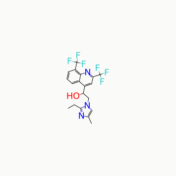 CCc1nc(C)cn1CC(O)c1cc(C(F)(F)F)nc2c(C(F)(F)F)cccc12